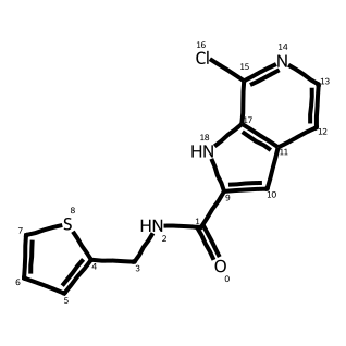 O=C(NCc1cccs1)c1cc2ccnc(Cl)c2[nH]1